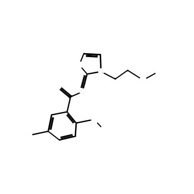 COCCn1ccs/c1=N\C(=O)c1cc(Cl)ccc1OC